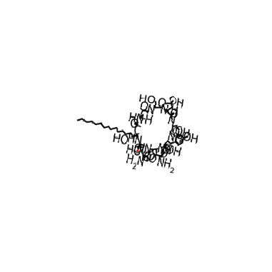 CCCCCCCCCCCCC(O)CCC1CC(=O)NCC(=O)NC(CO)C(=O)N2CC(O)CC2C(=O)NC(CO)C(=O)NC(C(O)c2ccc(O)cc2)C(=O)NC(C(O)C(N)=O)C(=O)NC(C(O)C(N)=O)C(=O)N1